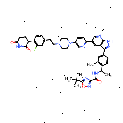 Cc1cc(-c2n[nH]c3ncc(-c4ccc(N5CCN(CCc6ccc(C7CCC(=O)NC7=O)c(F)c6)CC5)cn4)cc23)ccc1C(C)NC(=O)c1noc(C(C)(C)C)n1